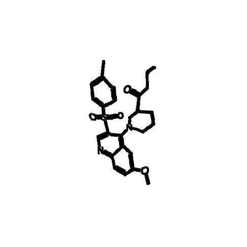 CCCC(=O)C1CCCN(c2c(S(=O)(=O)c3ccc(C)cc3)cnc3ccc(OC)cc23)C1